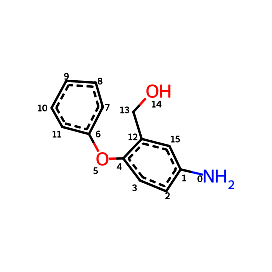 Nc1ccc(Oc2ccccc2)c(CO)c1